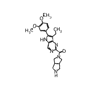 CCc1c(-c2ccc(OC)c(OC)c2)[nH]c2cnc(C(=O)N3CC4CNCC4C3)nc12